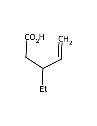 C=CC(CC)CC(=O)O